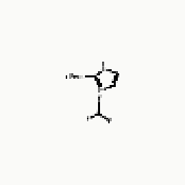 CCCCCc1ncc[nH]1.FC(F)F